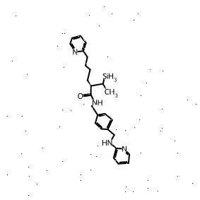 CC([SiH3])[C@H](CCCCc1ccccn1)C(=O)NCc1ccc(CNc2ccccn2)cc1